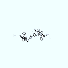 CCn1c([C@@H]2CCCN2C(=O)[C@@H](c2ccccc2)N(C)C)nc(C(=O)O)c1-c1ccc(-c2ccc(-c3cnc([C@@H]4CCCN4C(=O)[C@@H](c4ccccc4)N(C)C)[nH]3)cc2)cc1